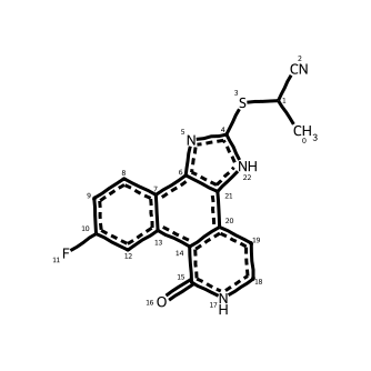 CC(C#N)Sc1nc2c3ccc(F)cc3c3c(=O)[nH]ccc3c2[nH]1